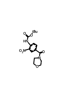 CC(C)(C)OC(=O)Nc1ccc(C(=O)N2CCOCC2)cc1[N+](=O)[O-]